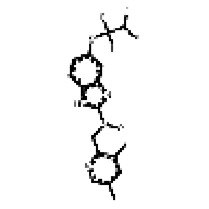 Cc1cnc(C[S+]([O-])c2nc3cc(OC(F)(F)C(F)F)ccc3[nH]2)c(C)c1